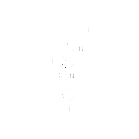 CCC1CCCCN1C(=O)c1cc2nc(-c3ccc(F)cc3)cc(C(F)(F)F)n2n1